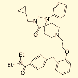 CCN(CC)C(=O)c1ccc(Cc2ccccc2OCCN2CCC3(CC2)C(=O)N(CC2CC2)CN3c2ccccc2)cc1